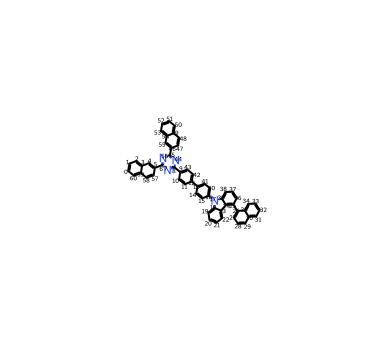 c1ccc2cc(-c3nc(-c4ccc(-c5ccc(-n6c7ccccc7c7c(-c8cccc9ccccc89)cccc76)cc5)cc4)nc(-c4ccc5ccccc5c4)n3)ccc2c1